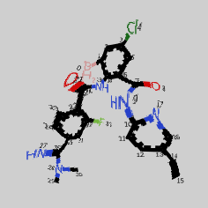 Bc1cc(Cl)cc(C(=O)Nc2ccc(C#C)cn2)c1NC(=O)c1ccc(C(=N)N(C)C)cc1F